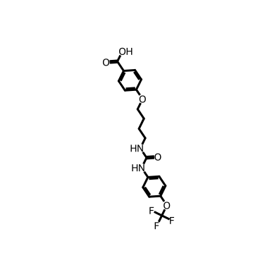 O=C(NCCCCOc1ccc(C(=O)O)cc1)Nc1ccc(OC(F)(F)F)cc1